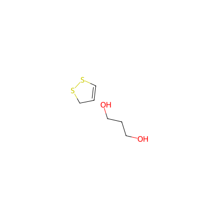 C1=CSSC1.OCCCO